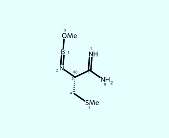 COB=N[C@@H](CSC)C(=N)N